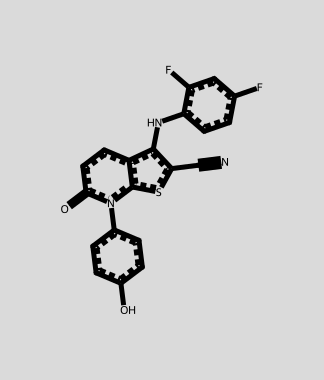 N#Cc1sc2c(ccc(=O)n2-c2ccc(O)cc2)c1Nc1ccc(F)cc1F